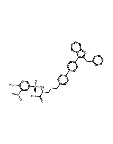 Cc1ccc(S(=O)(=O)N[C@@H](CSCc2ccc(-c3ccc(-c4c(Cc5ccccc5)oc5ccccc45)cc3)cc2)C(=O)O)cc1[N+](=O)[O-]